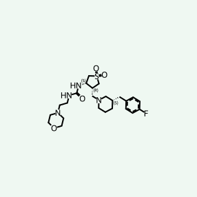 O=C(NCCN1CCOCC1)N[C@@H]1CS(=O)(=O)C[C@@H]1CN1CCC[C@@H](Cc2ccc(F)cc2)C1